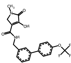 CN1CC(C(=O)NCc2cccc(-c3ccc(OC(F)(F)F)cc3)c2)=C(O)C1=O